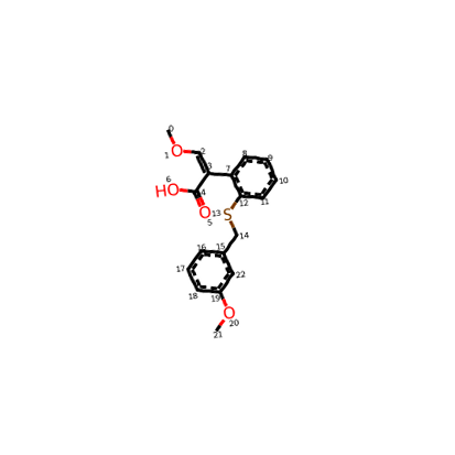 COC=C(C(=O)O)c1ccccc1SCc1cccc(OC)c1